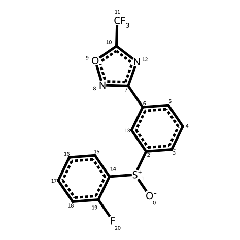 [O-][S+](c1[c]ccc(-c2noc(C(F)(F)F)n2)c1)c1ccccc1F